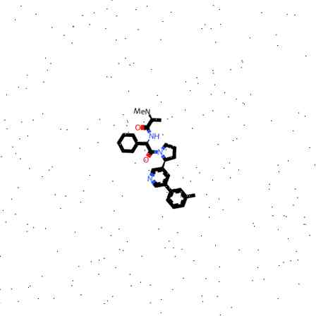 CN[C@@H](C)C(=O)N[C@H](C(=O)N1CCC[C@H]1c1cncc(-c2cccc(C)c2)c1)C1CCCCC1